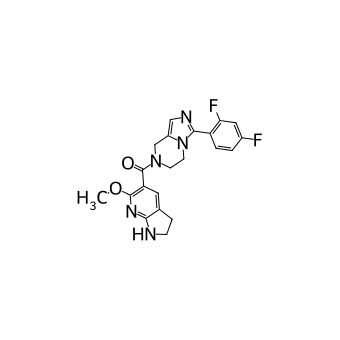 COc1nc2c(cc1C(=O)N1CCn3c(cnc3-c3ccc(F)cc3F)C1)CCN2